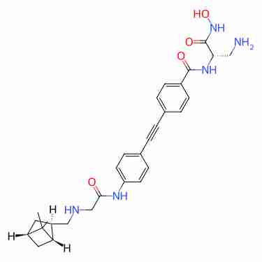 CC1(C)[C@H]2C[C@@H](CNCC(=O)Nc3ccc(C#Cc4ccc(C(=O)N[C@@H](CN)C(=O)NO)cc4)cc3)[C@@H]1C2